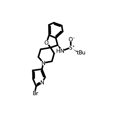 CC(C)(C)[S@@+]([O-])N[C@@H]1c2ccccc2OC12CCN(c1ccc(Br)nc1)CC2